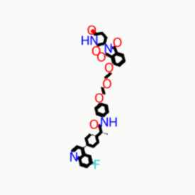 C[C@@H](C(=O)Nc1ccc(OCCOCCOc2cccc3c2C(=O)N(C2CCC(=O)NC2=O)C3=O)cc1)[C@H]1CC[C@@H](c2ccnc3ccc(F)cc32)CC1